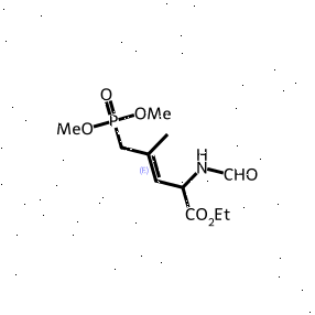 CCOC(=O)C(/C=C(\C)CP(=O)(OC)OC)NC=O